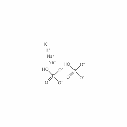 O=P([O-])([O-])O.O=P([O-])([O-])O.[K+].[K+].[Na+].[Na+]